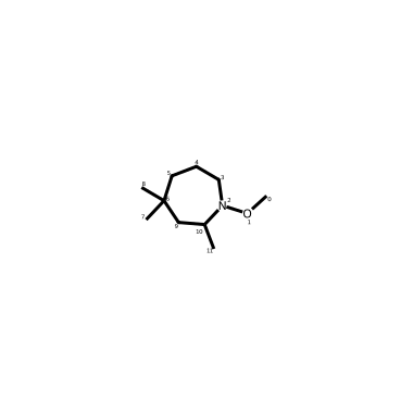 CON1CCCC(C)(C)CC1C